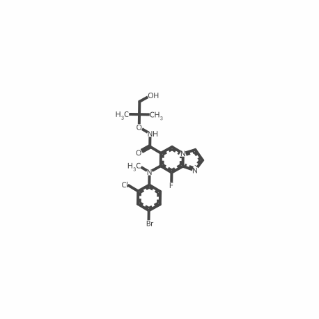 CN(c1ccc(Br)cc1Cl)c1c(C(=O)NOC(C)(C)CO)cn2ccnc2c1F